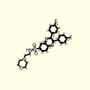 O=S(=O)(NCCN1CCOCC1)c1ccc2nc(-c3ccc(F)cc3)c(-c3ccc(F)cc3)nc2c1